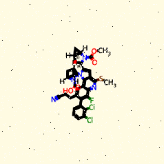 COC(=O)N1[C@@H](c2cc3c(SC)nc4c(F)c(-c5cccc(Cl)c5Cl)c(CCC#N)cc4c3n2[C@H]2[C@@H]3C[C@H]2N(C(=O)O)C3)C[C@@H]2C[C@@H]21